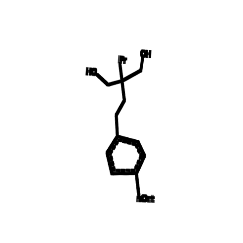 CCCCCCCCc1ccc(CCC(CO)(CO)C(C)C)cc1